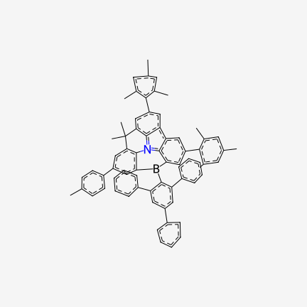 Cc1ccc(-c2cc3c4c(c2)C(C)(C)c2cc(-c5c(C)cc(C)cc5C)cc5c6cc(-c7c(C)cc(C)cc7C)cc(c6n-4c25)B3c2c(-c3ccccc3)cc(-c3ccccc3)cc2-c2ccccc2)cc1